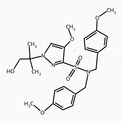 COc1ccc(CN(Cc2ccc(OC)cc2)S(=O)(=O)c2nn(C(C)(C)CO)cc2OC)cc1